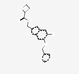 O=C(NCc1cc2cc(Cl)c(OCc3cscn3)cc2[nH]1)C1CCN1